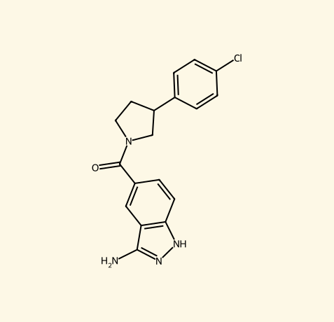 Nc1n[nH]c2ccc(C(=O)N3CCC(c4ccc(Cl)cc4)C3)cc12